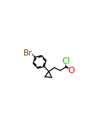 O=C(Cl)CCC1(c2ccc(Br)cc2)CC1